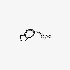 CC(=O)OCc1ccc2c(c1)CCC2